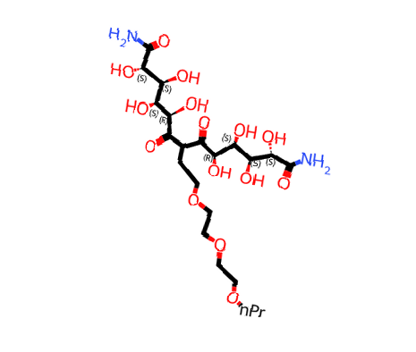 CCCOCCOCCOCCC(C(=O)[C@H](O)[C@@H](O)[C@H](O)[C@H](O)C(N)=O)C(=O)[C@H](O)[C@@H](O)[C@H](O)[C@H](O)C(N)=O